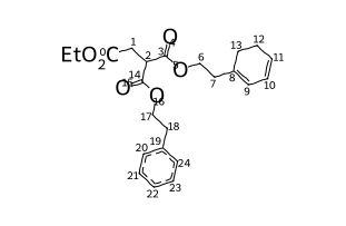 CCOC(=O)CC(C(=O)OCCC1=CC=CCC1)C(=O)OCCc1ccccc1